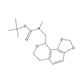 CN(CC1OCCc2ccc3c(c21)OCO3)C(=O)OC(C)(C)C